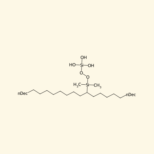 CCCCCCCCCCCCCCCCCCC(CCCCCCCCCCCCCCC)[Si](C)(C)OO[Si](O)(O)O